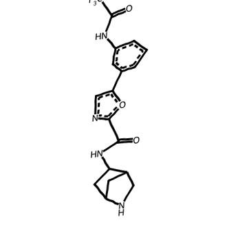 O=C(NC1CC2CC1CN2)c1ncc(-c2cccc(NC(=O)C(F)(F)F)c2)o1